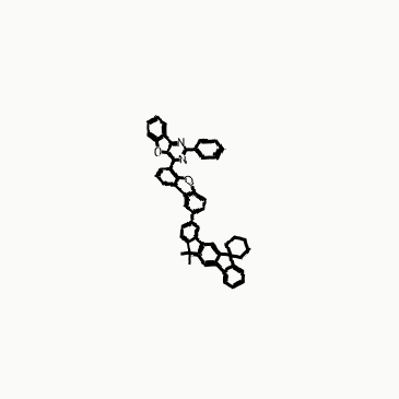 CC1(C)c2ccc(-c3ccc4oc5c(-c6nc(-c7ccccc7)nc7c6oc6ccccc67)cccc5c4c3)cc2-c2cc3c(cc21)-c1ccccc1C31CCCCC1